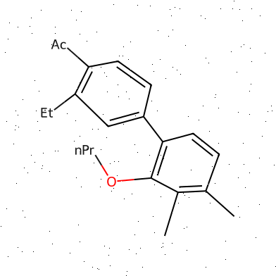 CCCOc1c(-c2ccc(C(C)=O)c(CC)c2)ccc(C)c1C